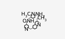 CCc1cnc2ccc(Cc3cc(C(=O)NCc4ccc(N)nc4C)ccn3)cc2c1